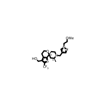 COCCn1cc(CN2CC[C@]3(C[C@@H]2C)OCCc2c3sc(C(F)(F)F)c2CO)cn1